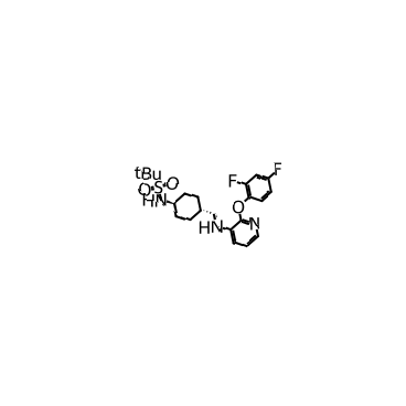 CC(C)(C)S(=O)(=O)N[C@H]1CC[C@H](CNc2cccnc2Oc2ccc(F)cc2F)CC1